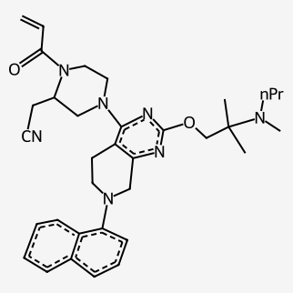 C=CC(=O)N1CCN(c2nc(OCC(C)(C)N(C)CCC)nc3c2CCN(c2cccc4ccccc24)C3)CC1CC#N